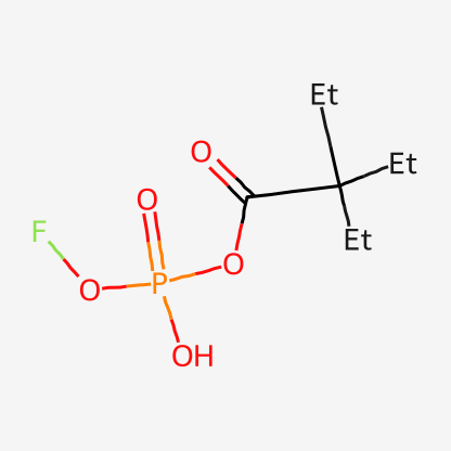 CCC(CC)(CC)C(=O)OP(=O)(O)OF